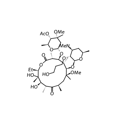 CC[C@H]1OC(=O)[C@H](C)[C@@H](O[C@H]2C[C@@](C)(OC)[C@@H](OC(C)=O)[C@H](C)O2)[C@H](C)[C@@H](O[C@@H]2O[C@H](C)C[C@H](NC)[C@H]2OCCCO)[C@@](C)(OC)C[C@@H](C)C(=O)[C@H](C)[C@@H](O)[C@]1(C)O